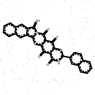 N=c1c2cc3ccccc3cc2c2nc3c(=O)c4c(=O)[nH]c(-c5ccc6ccccc6c5)nc4c(=O)c3c(=O)n12